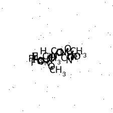 COC[C@@H](c1ccc(C(F)(F)F)cc1)N1CCN(C2(C)CCN(C(=O)c3c(C)nc[n+]([O-])c3C)CC2)C[C@@H]1C